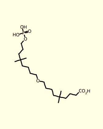 CC(C)(CCCCOCCCCC(C)(C)CCCC(=O)O)CCCOP(=O)(O)O